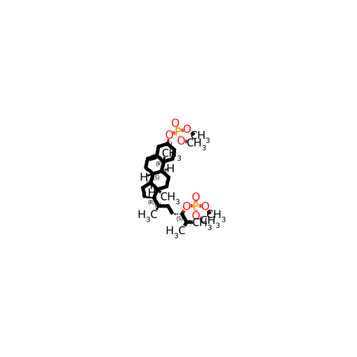 COP(=O)(OC)O[C@H]1CC[C@@]2(C)C(=CC[C@H]3[C@@H]4CC[C@H]([C@H](C)CC[C@H](OP(=O)(OC)OC)C(C)C)[C@@]4(C)CC[C@@H]32)C1